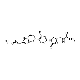 CO/N=C/c1cn2cc(-c3ccc(N4C[C@H](CNC(C)=O)OC4=O)cc3F)ccc2n1